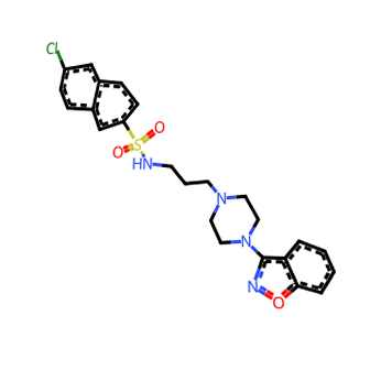 O=S(=O)(NCCCN1CCN(c2noc3ccccc23)CC1)c1ccc2cc(Cl)ccc2c1